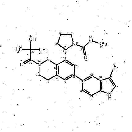 CC(C)c1c[nH]c2ncc(-c3cc4c(c([C@@H]5CCCN5C(=O)OC(C)(C)C)c3)CN(C(=O)C(C)(C)O)CC4)cc12